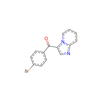 O=C(c1ccc(Br)cc1)c1cnc2ccccn12